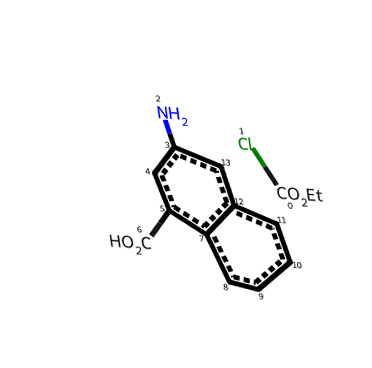 CCOC(=O)Cl.Nc1cc(C(=O)O)c2ccccc2c1